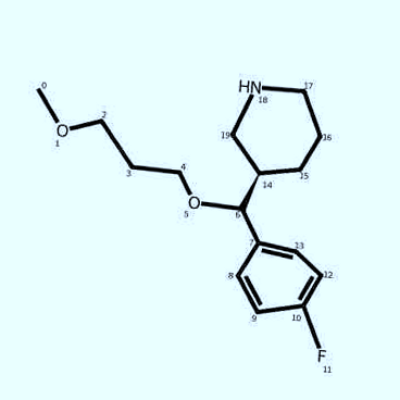 COCCCOC(c1ccc(F)cc1)[C@@H]1CCCNC1